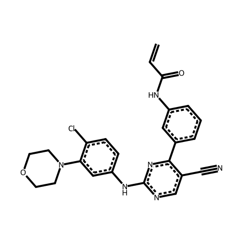 C=CC(=O)Nc1cccc(-c2nc(Nc3ccc(Cl)c(N4CCOCC4)c3)ncc2C#N)c1